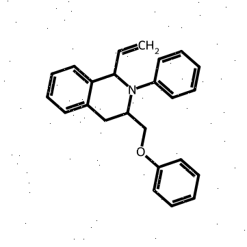 C=CC1c2ccccc2CC(COc2ccccc2)N1c1ccccc1